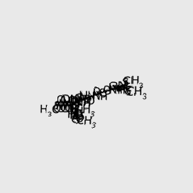 COc1cccc2c1C(=O)c1c(O)c3c(c(O)c1C2=O)C[C@@](O)(C(=O)NNC(=O)CCSCC(=O)NCCNC(=O)CCOCCOCCNC(=O)c1ccc2nc(CSC)c(CSC)nc2c1)C[C@@H]3O[C@H]1C[C@H]2[C@H](O[C@@H]3[C@@H](OC)OCCN32)[C@H](C)O1